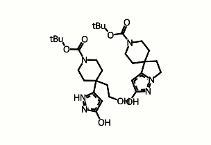 CC(C)(C)OC(=O)N1CCC(CCO)(c2cc(O)n[nH]2)CC1.CC(C)(C)OC(=O)N1CCC2(CC1)CCn1nc(O)cc12